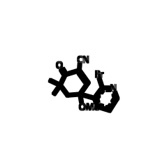 COC1(c2cccnc2Br)C=C(C#N)C(=O)C(C)(C)C1